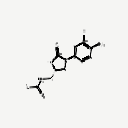 CC(=O)NC[C@H]1CN(c2ccc(N)c(F)c2)C(=O)O1